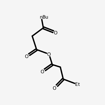 CCCCC(=O)CC(=O)OC(=O)CC(=O)CC